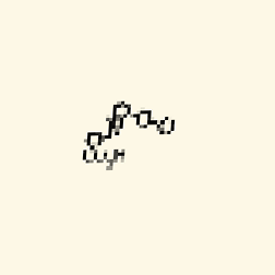 O=C(O)c1cccc(Cn2cc3c(-c4ccc(C5=CCCCC5)cc4)cccc3n2)c1